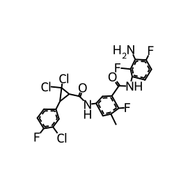 Cc1cc(NC(=O)C2C(c3ccc(F)c(Cl)c3)C2(Cl)Cl)cc(C(=O)Nc2ccc(F)c(N)c2F)c1F